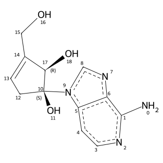 Nc1nccc2c1ncn2[C@]1(O)CC=C(CO)[C@H]1O